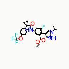 CCOC(=O)c1cc(NC(=O)C2(c3ccc(OC(F)(F)F)cc3)CC2)cc(F)c1/C(C=N)=C/NC(C)C